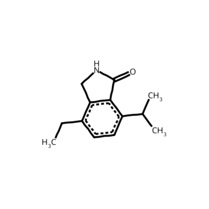 CCc1ccc(C(C)C)c2c1CNC2=O